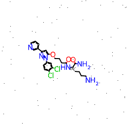 NCCCC[C@H](NC(=O)CCCOc1cc(-c2cccnc2)nn1-c1ccc(Cl)c(Cl)c1)C(N)=O